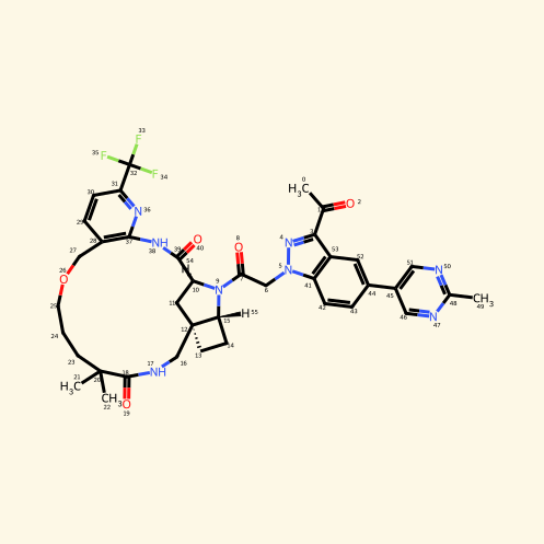 CC(=O)c1nn(CC(=O)N2[C@H]3C[C@]4(CC[C@@H]24)CNC(=O)C(C)(C)CCCOCc2ccc(C(F)(F)F)nc2NC3=O)c2ccc(-c3cnc(C)nc3)cc12